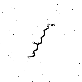 CCCCCCCCCCCCC([O])CCCC#N